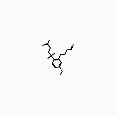 COc1ccc(C(C)(C)CCC(C)=O)c(CCCC=O)c1